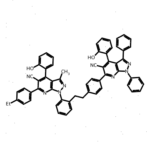 CCc1ccc(-c2nc3c(c(C)nn3-c3ccccc3CCc3ccc(-c4nc5c(c(-c6ccccc6)nn5-c5ccccc5)c(-c5ccccc5O)c4C#N)cc3)c(-c3ccccc3O)c2C#N)cc1